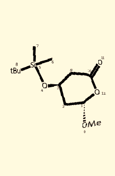 CO[C@@H]1C[C@@H](O[Si](C)(C)C(C)(C)C)CC(=O)O1